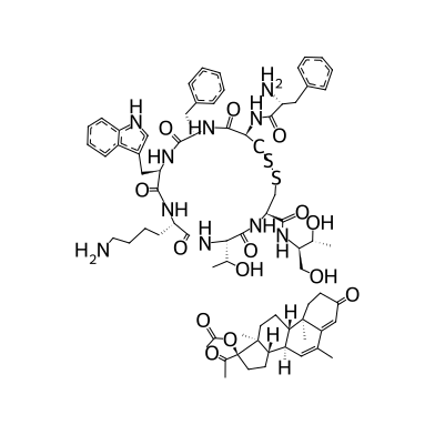 CC(=O)O[C@]1(C(C)=O)CC[C@H]2[C@@H]3C=C(C)C4=CC(=O)CC[C@]4(C)[C@H]3CC[C@@]21C.CC(O)[C@@H]1NC(=O)[C@H](CCCCN)NC(=O)[C@@H](Cc2c[nH]c3ccccc23)NC(=O)[C@H](Cc2ccccc2)NC(=O)[C@@H](NC(=O)[C@H](N)Cc2ccccc2)CSSC[C@@H](C(=O)N[C@H](CO)[C@@H](C)O)NC1=O